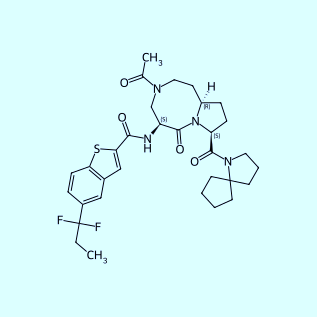 CCC(F)(F)c1ccc2sc(C(=O)N[C@H]3CN(C(C)=O)CC[C@H]4CC[C@@H](C(=O)N5CCCC56CCCC6)N4C3=O)cc2c1